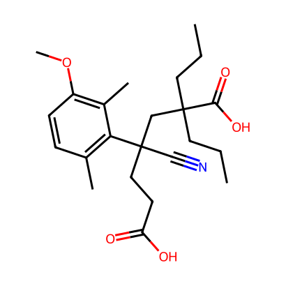 CCCC(CCC)(CC(C#N)(CCC(=O)O)c1c(C)ccc(OC)c1C)C(=O)O